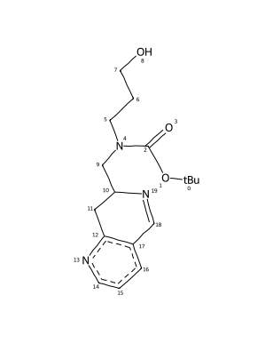 CC(C)(C)OC(=O)N(CCCO)CC1Cc2ncccc2C=N1